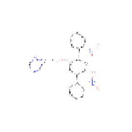 O=[N+]([O-])c1ccccc1-c1ccc(-c2ccccc2[N+](=O)[O-])c(OCCn2cncn2)c1